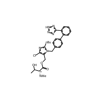 CCCCc1nc(Cl)c(COC(=O)[C@H](NC)C(C)O)n1Cc1ccc(-c2ccccc2-c2nn[nH]n2)cc1